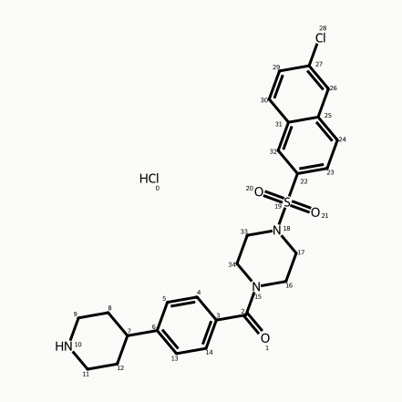 Cl.O=C(c1ccc(C2CCNCC2)cc1)N1CCN(S(=O)(=O)c2ccc3cc(Cl)ccc3c2)CC1